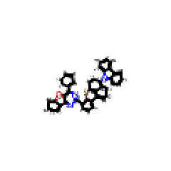 c1ccc(-c2nc(-c3cccc4c3Sc3ccc(-n5c6ccccc6c6ccccc65)c5cccc-4c35)nc3c2oc2ccccc23)cc1